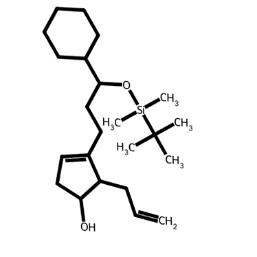 C=CCC1C(CCC(O[Si](C)(C)C(C)(C)C)C2CCCCC2)=CCC1O